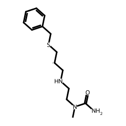 CN(CCNC[CH]CSCc1ccccc1)C(N)=O